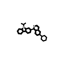 CC(C)n1c2ccccc2c2ccc(-c3nccc4cc(C5CCCCC5)ccc34)cc21